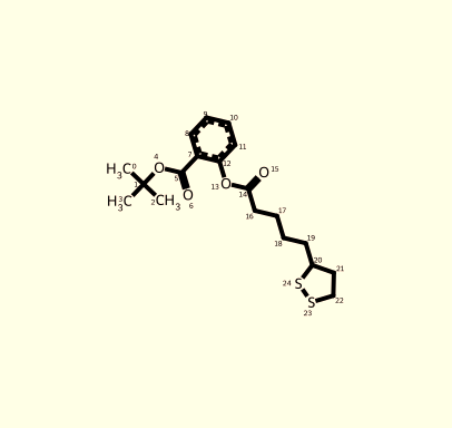 CC(C)(C)OC(=O)c1ccccc1OC(=O)CCCCC1CCSS1